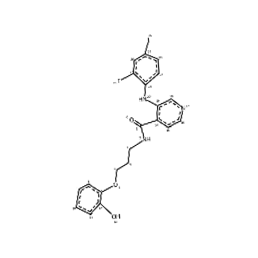 O=C(NCCCOc1ccccc1O)c1ccncc1Nc1ccc(I)cc1F